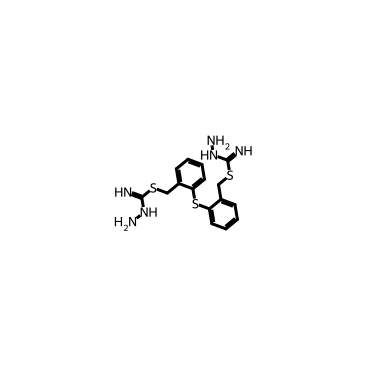 N=C(NN)SCc1ccccc1Sc1ccccc1CSC(=N)NN